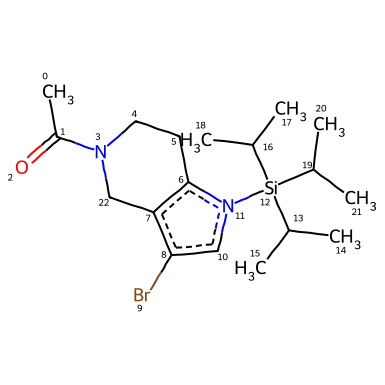 CC(=O)N1CCc2c(c(Br)cn2[Si](C(C)C)(C(C)C)C(C)C)C1